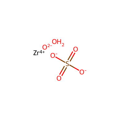 O.O=S(=O)([O-])[O-].[O-2].[Zr+4]